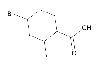 CC1CC(Br)CCC1C(=O)O